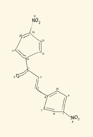 O=C(C=Cc1ccc([N+](=O)[O-])cc1)c1ccc([N+](=O)[O-])cc1